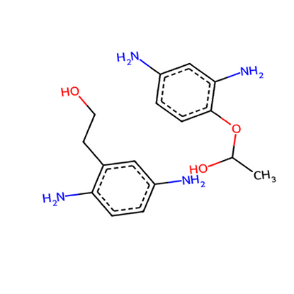 CC(O)Oc1ccc(N)cc1N.Nc1ccc(N)c(CCO)c1